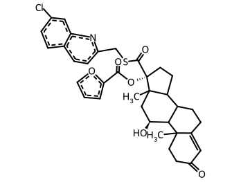 CC12CCC(=O)C=C1CCC1C2[C@@H](O)CC2(C)C1CC[C@]2(OC(=O)c1ccco1)C(=O)SCc1ccc2ccc(Cl)cc2n1